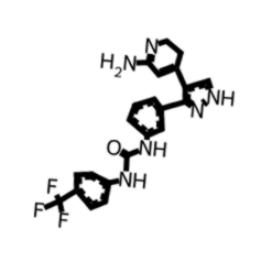 NC1=NCCC(c2c[nH]nc2-c2cccc(NC(=O)Nc3ccc(C(F)(F)F)cc3)c2)=C1